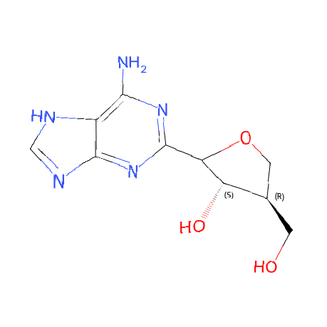 Nc1nc(C2OC[C@@H](CO)[C@@H]2O)nc2nc[nH]c12